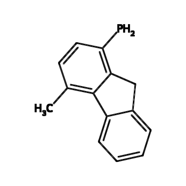 Cc1ccc(P)c2c1-c1ccccc1C2